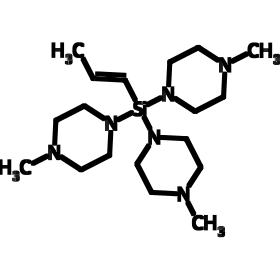 CC=C[Si](N1CCN(C)CC1)(N1CCN(C)CC1)N1CCN(C)CC1